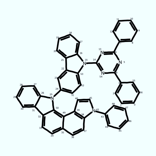 c1ccc(-c2nc(-c3ccccc3)nc(-n3c4ccccc4c4cc(-n5c6ccccc6c6ccc7ccc8c(ccn8-c8ccccc8)c7c65)ccc43)n2)cc1